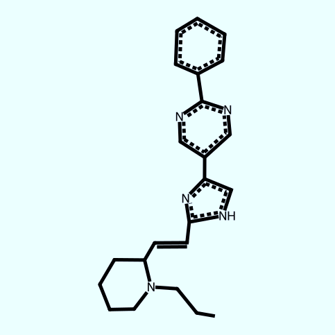 CCCN1CCCCC1C=Cc1nc(-c2cnc(-c3ccccc3)nc2)c[nH]1